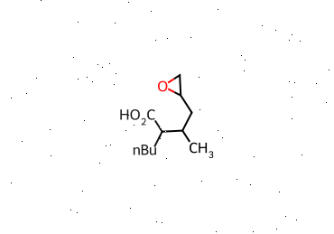 CCCCC(C(=O)O)C(C)CC1CO1